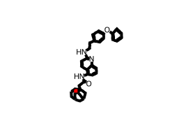 O=C(CC12CC3CC(CC(C3)C1)C2)Nc1cccc2nc(NCCc3ccc(Oc4ccccc4)cc3)ccc12